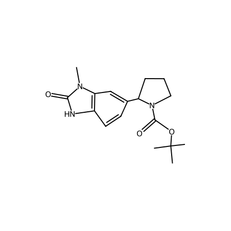 Cn1c(=O)[nH]c2ccc(C3CCCN3C(=O)OC(C)(C)C)cc21